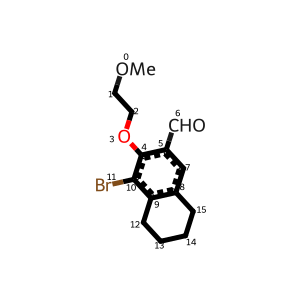 COCCOc1c(C=O)cc2c(c1Br)CCCC2